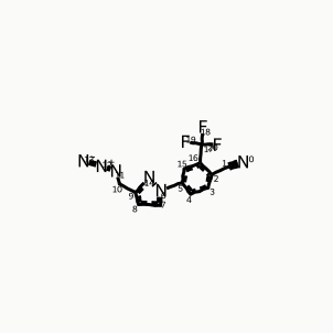 N#Cc1ccc(-n2ccc(CN=[N+]=[N-])n2)cc1C(F)(F)F